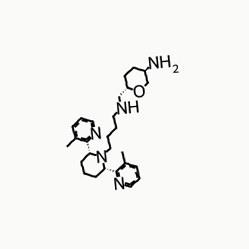 Cc1cccnc1[C@H]1CCC[C@@H](c2ncccc2C)N1CCCCNC[C@@H]1CC[C@@H](N)CO1